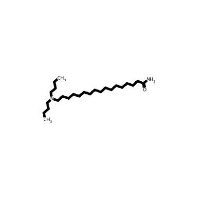 CCCCN(CCCC)CCCCCCCCCCCCCCCCC(N)=O